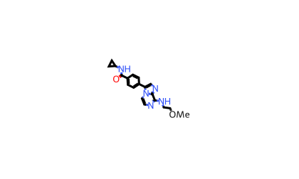 COCCNc1nccn2c(-c3ccc(C(=O)NC4CC4)cc3)cnc12